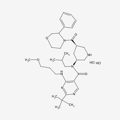 COCCCNc1nc(C(C)(C)C)ncc1C(=O)N(CC(C)C)[C@@H]1CNC[C@H](C(=O)N2CCOCC2c2ccccc2)C1.Cl.Cl